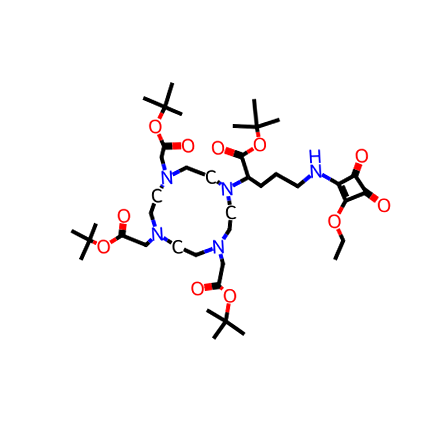 CCOc1c(NCCCC(C(=O)OC(C)(C)C)N2CCN(CC(=O)OC(C)(C)C)CCN(CC(=O)OC(C)(C)C)CCN(CC(=O)OC(C)(C)C)CC2)c(=O)c1=O